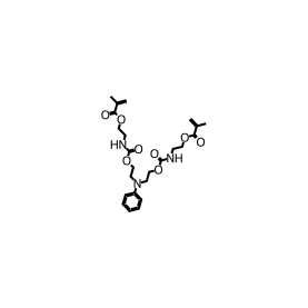 C=C(C)C(=O)OCCNC(=O)OCCN(CCOC(=O)NCCOC(=O)C(=C)C)c1ccccc1